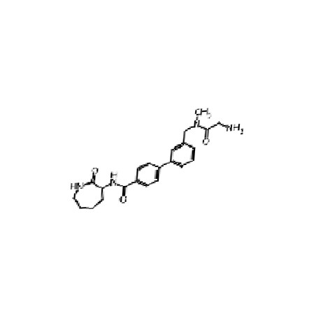 CN(Cc1cccc(-c2ccc(C(=O)NC3CCCCNC3=O)cc2)c1)C(=O)CN